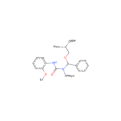 CCCCCCCN(C(=O)Nc1ccccc1OCC)C(OCC(OC)OC)c1ccccc1